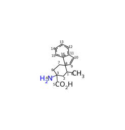 CC1CC(N)(C(=O)O)CCC12C=Cc1ccccc12